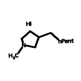 CCCCCCC1CCN(C)C1.I